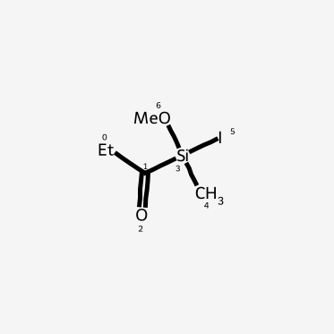 CCC(=O)[Si](C)(I)OC